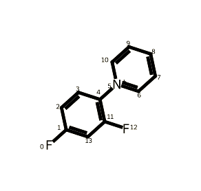 Fc1ccc(-[n+]2ccccc2)c(F)c1